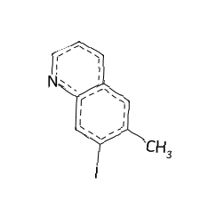 Cc1cc2cccnc2cc1I